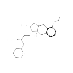 CCCCC[C@@H](CC[C@@H]1[C@H]2Cc3cccc(OCC(=O)O)c3C[C@H]2C[C@H]1O)CC1CCCCO1